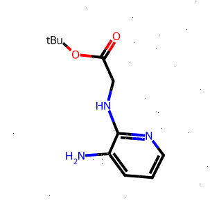 CC(C)(C)OC(=O)CNc1ncccc1N